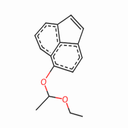 CCOC(C)Oc1ccc2c3c(cccc13)C=C2